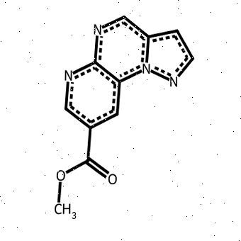 COC(=O)c1cnc2ncc3ccnn3c2c1